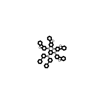 c1ccc(-c2cccc(N(c3cccc(-c4ccccc4)c3)c3cc4c5c(c3)N(c3ccc6oc7ccccc7c6c3)c3cc6c(cc3B5c3cc5oc7ccccc7c5cc3N4c3ccc4oc5ccccc5c4c3)oc3ccccc36)c2)cc1